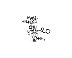 COC(C)(C)C(=O)N/C(=N/C=N)c1ccc([C@]2(C#N)O[C@H](COC(=O)CC3CCCCC3)[C@@H](OC(=O)[C@@H](N)C(C)(C)C)[C@H]2O)[nH]1